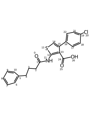 O=C(CCCc1ccccc1)Nc1scc(-c2ccc(Cl)cc2)c1C(=O)O